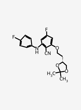 CC1(C)OC[C@@H](CCOc2cc(F)cc(Nc3ccc(F)cc3)c2C#N)O1